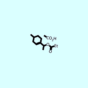 CC(=O)O.CCC(=O)OC(C)C1=CCC(C)CC1